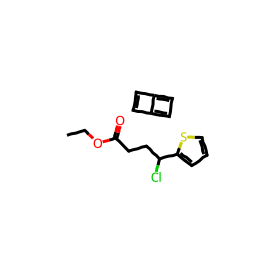 CCOC(=O)CCC(Cl)c1cccs1.c1cc2ccc1-2